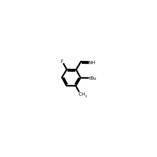 Cc1ccc(F)c(C=N)c1C(C)(C)C